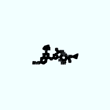 BC(=O)N1CC(Oc2cc(-n3cccn3)nc3cc(OC)ccc23)C[C@H]1C(=O)N[C@@H](CCC)C(O)C(=O)NC1CC1